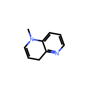 CN1C=CCc2ncccc21